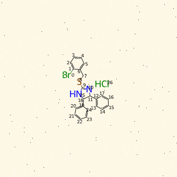 Brc1ccccc1CSC1=NC(c2ccccc2)C(c2ccccc2)N1.Cl